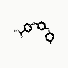 O=C(O)c1ccc(Sc2ccc(Sc3ccc(I)cc3)cc2)cc1